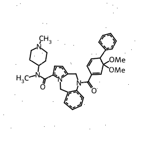 COC1(OC)C=C(C(=O)N2Cc3ccc(C(=O)N(C)C4CCN(C)CC4)n3Cc3ccccc32)C=CC1c1ccccc1